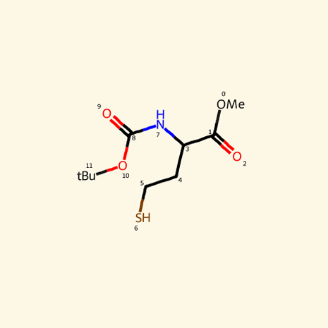 COC(=O)C(CCS)NC(=O)OC(C)(C)C